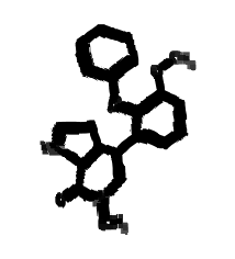 COc1cccc(-c2cn(C)c(=O)c3[nH]ccc23)c1Oc1ccccc1